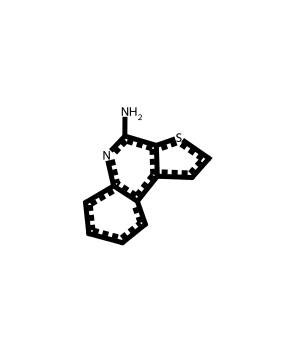 Nc1nc2ccccc2c2ccsc12